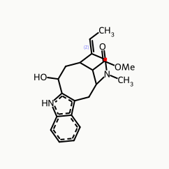 C/C=C1\CN(C)C2Cc3c([nH]c4ccccc34)C(O)CC1C2C(=O)OC